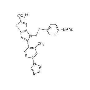 CC(=O)Nc1ccc(CCn2c(-c3ccc(-n4ccnc4)cc3C)cc3sc(C(=O)O)cc32)cc1